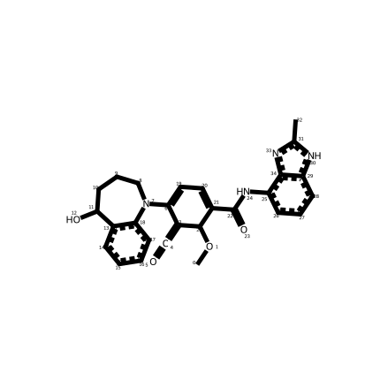 COC1C(=C=O)C(N2CCCC(O)c3ccccc32)=CC=C1C(=O)Nc1cccc2[nH]c(C)nc12